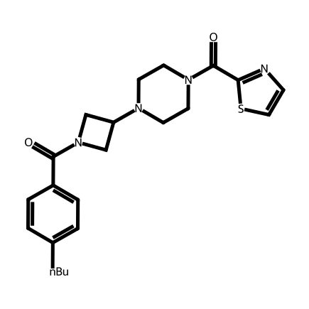 CCCCc1ccc(C(=O)N2CC(N3CCN(C(=O)c4nccs4)CC3)C2)cc1